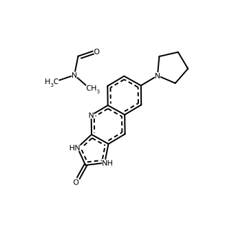 CN(C)C=O.O=c1[nH]c2cc3cc(N4CCCC4)ccc3nc2[nH]1